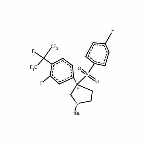 CC(C)(C)N1CC[C@](c2ccc(C(F)(C(F)(F)F)C(F)(F)F)c(F)c2)(S(=O)(=O)c2ccc(F)cc2)C1